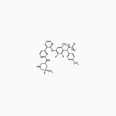 Cc1ccc(C(N[SH](=O)=O)c2c(C)cc(Oc3ncccc3-c3ccnc(N[C@@H]4CNC[C@@](C)(F)C4)n3)c(F)c2F)cc1